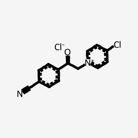 N#Cc1ccc(C(=O)C[n+]2ccc(Cl)cc2)cc1.[Cl-]